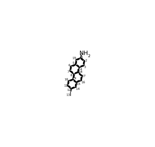 Nc1ccc2c(ccc3c4ccc(I)cc4ccc23)c1